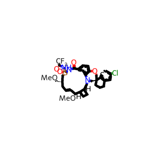 COC[C@H]1C/C=C/[C@H](OC)[C@@H]2CC[C@H]2CN2C[C@@]3(CCCc4cc(Cl)ccc43)COc3ccc(cc32)C(=O)N=S(=O)(NC(=O)C(F)(F)F)C1